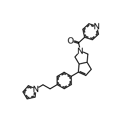 O=C(c1ccncc1)N1CC2CC=C(c3ccc(CCn4cccc4)cc3)C2C1